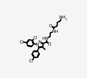 Cc1c(C(=O)NCCNC(=O)CCCN)nn(-c2ccc(Cl)cc2Cl)c1-c1ccc(Cl)cc1